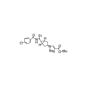 CCC(NC(=O)c1ccc(Cl)cc1)[C@H]1[C@@H]2C[C@@H](n3cc(C(=O)OC(C)(C)C)nn3)C[C@@H]21